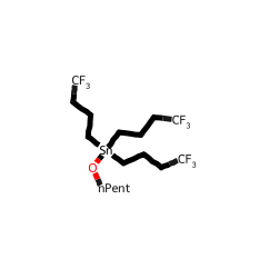 CCCCC[O][Sn]([CH2]CCC(F)(F)F)([CH2]CCC(F)(F)F)[CH2]CCC(F)(F)F